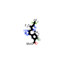 COC(=O)c1cc(-c2nn[nH]c2-c2c(C(F)(F)F)c(C(F)(F)C(F)(F)F)nn2C)ccc1Cl